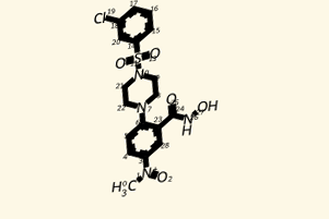 C[N+](=O)c1ccc(N2CCN(S(=O)(=O)c3cccc(Cl)c3)CC2)c(C(=O)NO)c1